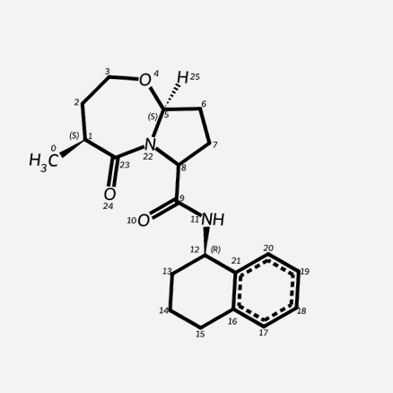 C[C@H]1CCO[C@H]2CCC(C(=O)N[C@@H]3CCCc4ccccc43)N2C1=O